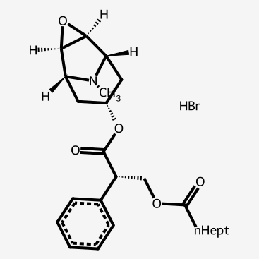 Br.CCCCCCCC(=O)OC[C@@H](C(=O)O[C@@H]1C[C@@H]2[C@H]3O[C@H]3[C@H](C1)N2C)c1ccccc1